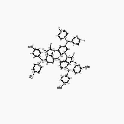 Cc1ccc(N(c2ccc(C)cc2)c2cc3c4c(c2)-n2c(C)c(C)c5c(N(c6ccc(C(C)(C)C)cc6)c6ccc(C(C)(C)C)cc6)ccc(c52)B4c2ccc(N(c4ccc(C(C)(C)C)cc4)c4ccc(C(C)(C)C)cc4)c4c(C)c(C)n-3c24)cc1